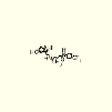 CC(CCCC(=O)Nc1ccc(C(F)(F)F)cc1)NCCc1c[nH]c2ccc(O)cc12